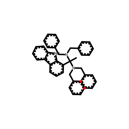 CC(c1cccc2c1[nH]c1ccccc12)(N(Cc1ccccc1)Cc1ccccc1)N(Cc1ccccc1)Cc1ccccc1